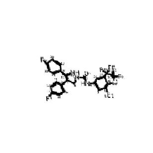 CCc1cc(NC(=O)N2CC(c3ccc(F)cc3)=C(c3ccc(F)cc3)N2)cc2c1OC(F)(F)C2(F)F